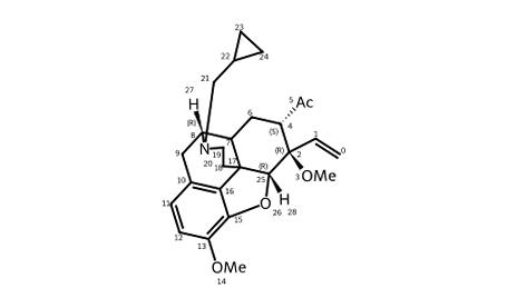 C=C[C@@]1(OC)[C@@H](C(C)=O)CC2[C@H]3Cc4ccc(OC)c5c4C2(CCN3CC2CC2)[C@H]1O5